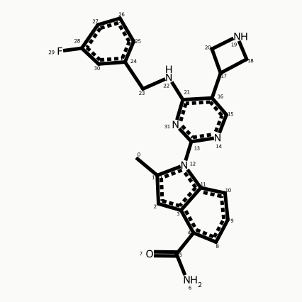 Cc1cc2c(C(N)=O)cccc2n1-c1ncc(C2CNC2)c(NCc2cccc(F)c2)n1